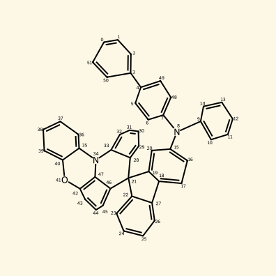 c1ccc(-c2ccc(N(c3ccccc3)c3ccc4c(c3)C3(c5ccccc5-4)c4ccccc4N4c5ccccc5Oc5cccc3c54)cc2)cc1